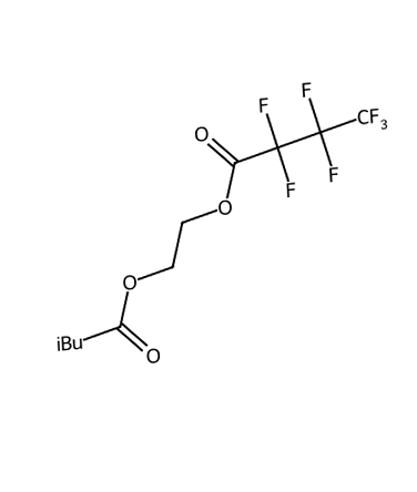 CCC(C)C(=O)OCCOC(=O)C(F)(F)C(F)(F)C(F)(F)F